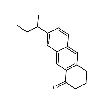 CCC(C)c1ccc2cc3c(cc2c1)C(=O)CCC3